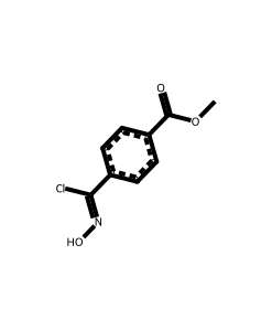 COC(=O)c1ccc(/C(Cl)=N/O)cc1